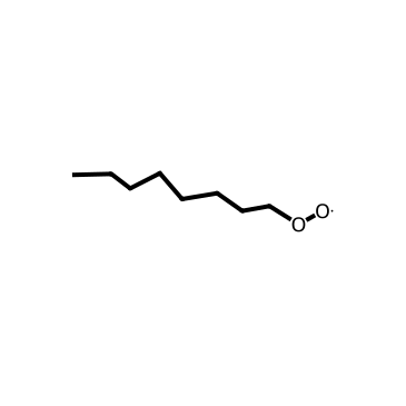 CCCCCCCCO[O]